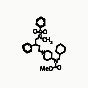 COC(=O)N(CC1CCCCC1)C1CCN(CCC(CN(C)S(=O)(=O)c2ccccc2)c2ccccc2)CC1